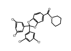 O=C(c1ccc2c(c1)OC(c1cc(Cl)cc(Cl)c1)(c1cc(Cl)cc(Cl)c1)O2)N1CCCCC1